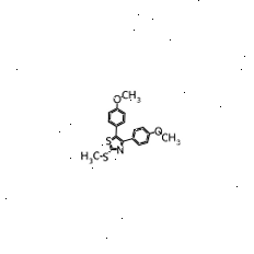 COc1ccc(-c2nc(SC)sc2-c2ccc(OC)cc2)cc1